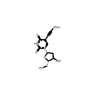 CCCCCC#Cc1cn([C@@H]2CC(O)[C@H](CO)O2)c(=O)[nH]c1=O